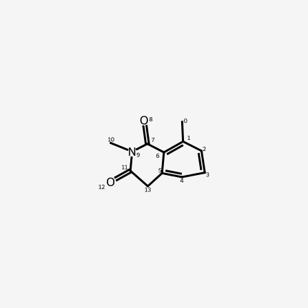 Cc1cccc2c1C(=O)N(C)C(=O)C2